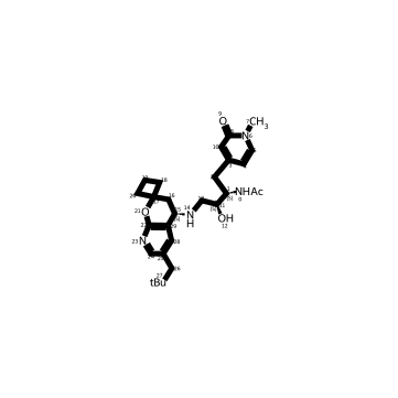 CC(=O)N[C@@H](Cc1ccn(C)c(=O)c1)[C@@H](O)CN[C@H]1CC2(CCC2)Oc2ncc(CC(C)(C)C)cc21